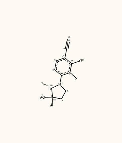 Cc1c(N2CC[C@](C)(O)[C@@H]2C)ccc(C#N)c1Cl